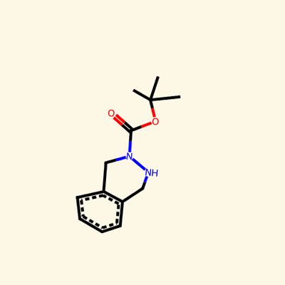 CC(C)(C)OC(=O)N1Cc2ccccc2CN1